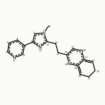 Cn1cc(-c2cccnc2)nc1CCc1cnc2c(n1)=CCCC=2